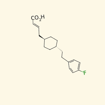 O=C(O)/C=C/C[C@H]1CC[C@H](CCc2ccc(F)cc2)CC1